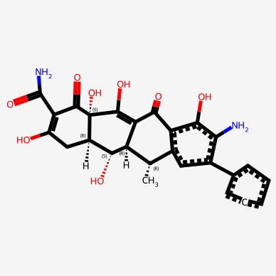 C[C@H]1c2cc(-c3ccccc3)c(N)c(O)c2C(=O)C2=C(O)[C@]3(O)C(=O)C(C(N)=O)=C(O)C[C@@H]3[C@@H](O)[C@@H]21